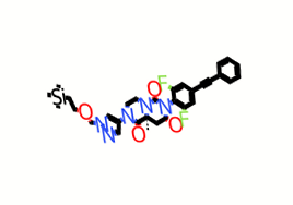 C[C@@]12CC(=O)N(c3c(F)cc(C#Cc4ccccc4)cc3F)C(=O)N1CCN(c1cnn(COCC[Si](C)(C)C)c1)C2=O